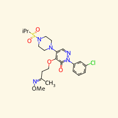 CO/N=C(\C)CCOc1c(N2CCN(S(=O)(=O)C(C)C)CC2)cnn(-c2cccc(Cl)c2)c1=O